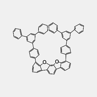 C1=CC(c2cc(-c3ccccc3)cc(-c3ccc(-c4cccc5c4oc4c5ccc5c6cccc(-c7ccc(-c8cc(-c9ccccc9)cc(-c9ccccc9)c8)cc7)c6oc54)cc3)c2)=CCC1